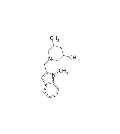 CC1CC(C)CN(Cc2cc3ccccc3n2C)C1